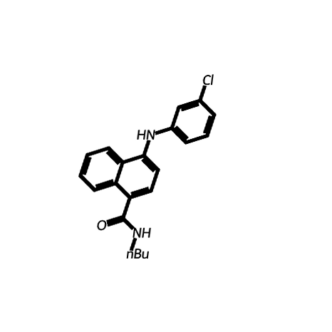 CCCCNC(=O)c1ccc(Nc2cccc(Cl)c2)c2ccccc12